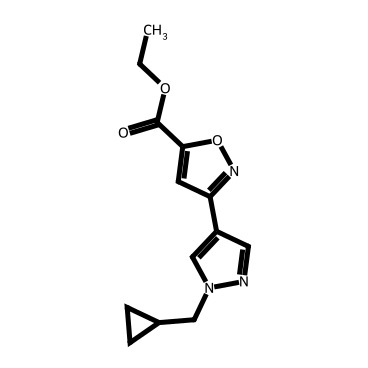 CCOC(=O)c1cc(-c2cnn(CC3CC3)c2)no1